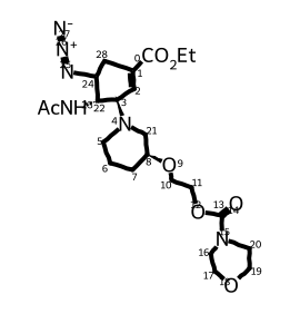 CCOC(=O)C1=C[C@@H](N2CCC[C@H](OCCOC(=O)N3CCOCC3)C2)[C@H](NC(C)=O)C(N=[N+]=[N-])C1